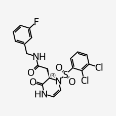 O=C(C[C@@H]1C(=O)NC=CN1S(=O)(=O)c1cccc(Cl)c1Cl)NCc1cccc(F)c1